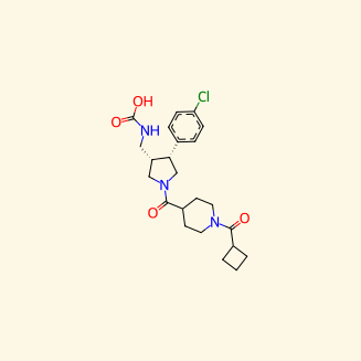 O=C(O)NC[C@H]1CN(C(=O)C2CCN(C(=O)C3CCC3)CC2)C[C@H]1c1ccc(Cl)cc1